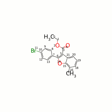 CCOC(=O)c1c(-c2ccc(Br)cc2)oc2c(C)cccc12